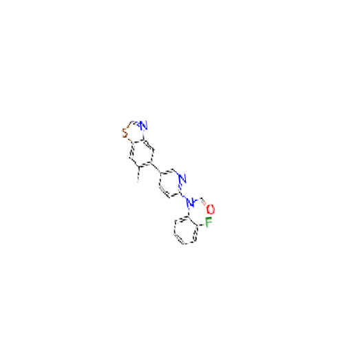 Cc1cc2scnc2cc1-c1ccc(N(C=O)c2ccccc2F)nc1